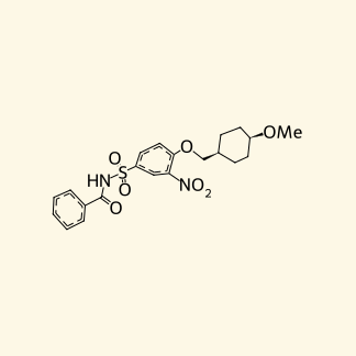 CO[C@H]1CC[C@@H](COc2ccc(S(=O)(=O)NC(=O)c3ccccc3)cc2[N+](=O)[O-])CC1